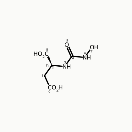 O=C(O)C[C@H](NC(=O)NO)C(=O)O